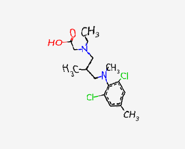 CCN(CC(=O)O)CC(C)CN(C)c1c(Cl)cc(C)cc1Cl